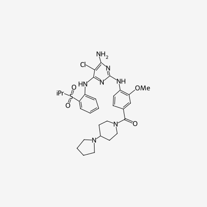 COc1cc(C(=O)N2CCC(N3CCCC3)CC2)ccc1Nc1nc(N)c(Cl)c(Nc2ccccc2S(=O)(=O)C(C)C)n1